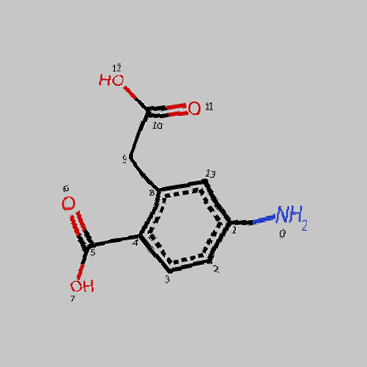 Nc1ccc(C(=O)O)c(CC(=O)O)c1